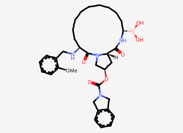 COc1ccccc1CN[C@H]1CCCCCCCCC[C@@H](B(O)O)NC(=O)[C@@H]2C[C@@H](OC(=O)N3Cc4ccccc4C3)CN2C1=O